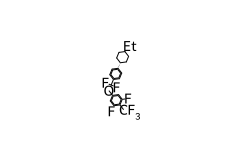 CC[C@H]1CC[C@H](c2ccc(C(F)(F)Oc3cc(F)c(C(F)(F)F)c(F)c3)cc2)CC1